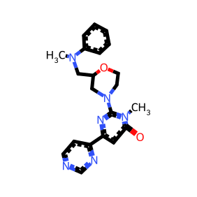 CN(CC1CN(c2nc(-c3ccncn3)cc(=O)n2C)CCO1)c1ccccc1